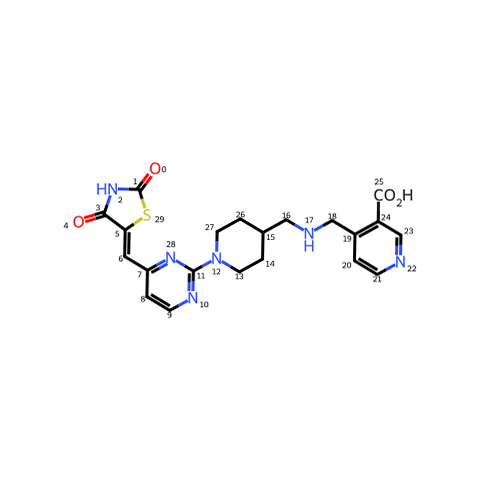 O=C1NC(=O)C(=Cc2ccnc(N3CCC(CNCc4ccncc4C(=O)O)CC3)n2)S1